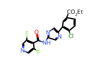 CCOC(=O)c1ccc(Cl)c(-c2cnc(NC(=O)c3c(F)cncc3F)cn2)c1